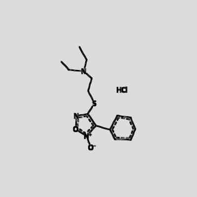 CCN(CC)CCSc1no[n+]([O-])c1-c1ccccc1.Cl